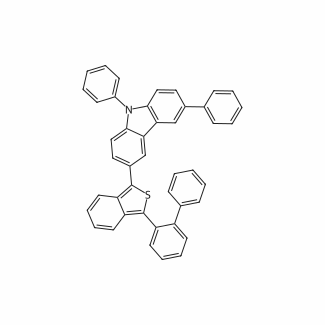 c1ccc(-c2ccc3c(c2)c2cc(-c4sc(-c5ccccc5-c5ccccc5)c5ccccc45)ccc2n3-c2ccccc2)cc1